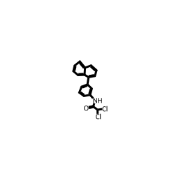 O=C(Nc1cccc(-c2cccc3ccccc23)c1)C(Cl)Cl